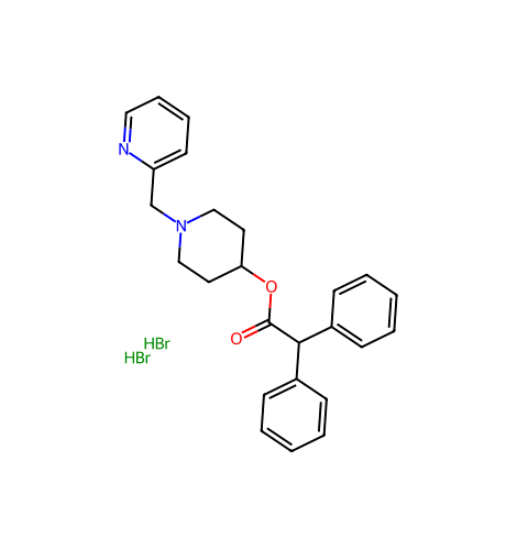 Br.Br.O=C(OC1CCN(Cc2ccccn2)CC1)C(c1ccccc1)c1ccccc1